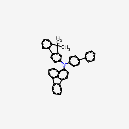 CC1(C)c2ccccc2-c2ccc(N(c3ccc(-c4ccccc4)cc3)c3ccc4c5c(cccc35)-c3ccccc3-4)cc21